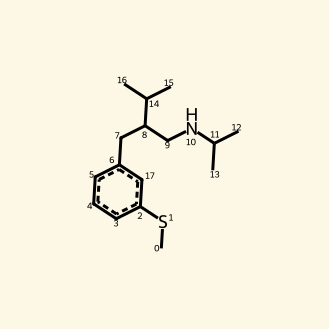 CSc1cccc(CC(CNC(C)C)C(C)C)c1